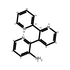 Nc1cccnc1-c1cccnc1-c1ccccn1